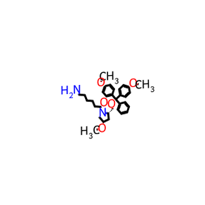 COc1ccc(C(OC[C@@H]2C[C@@H](OC)CN2C(=O)CCCCCN)(c2ccccc2)c2ccc(OC)cc2)cc1